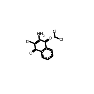 ClCCl.NC1=C(Cl)C(=O)c2ccccc2C1=O